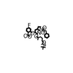 COC(=O)c1ccc(F)cc1Oc1cc2ccn(S(=O)(=O)Cc3ccccc3)c2nc1OC(C)CCCO[Si](C)(C)C(C)(C)C